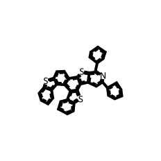 c1ccc(-c2cc3c(sc4c5ccc6sc7ccccc7c6c5c5c6ccccc6sc5c34)c(-c3ccccc3)n2)cc1